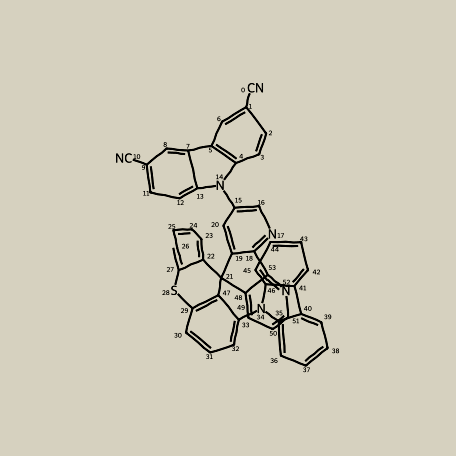 N#Cc1ccc2c(c1)c1cc(C#N)ccc1n2-c1cnc2c(c1)C1(c3ccccc3Sc3cccc(-n4c5ccccc5c5ccccc54)c31)c1cccnc1-2